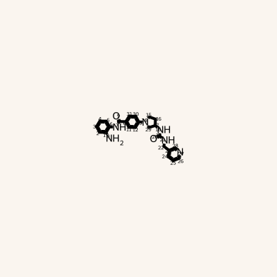 Nc1ccccc1NC(=O)c1ccc(N2CCC(NC(=O)NCc3cccnc3)C2)cc1